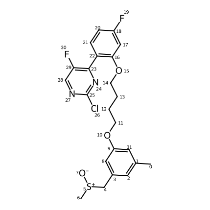 Cc1cc(C[S+](C)[O-])cc(OCCCCOc2cc(F)ccc2-c2nc(Cl)ncc2F)c1